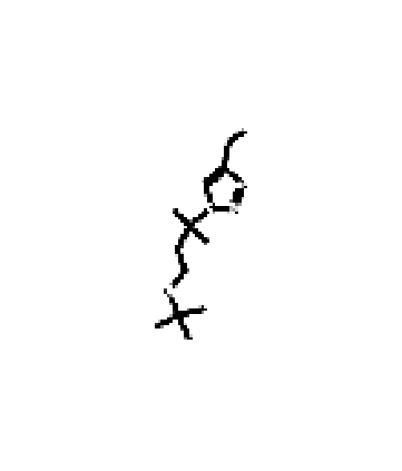 CCc1cn(C(C)(C)CCOC(C)(C)C)nn1